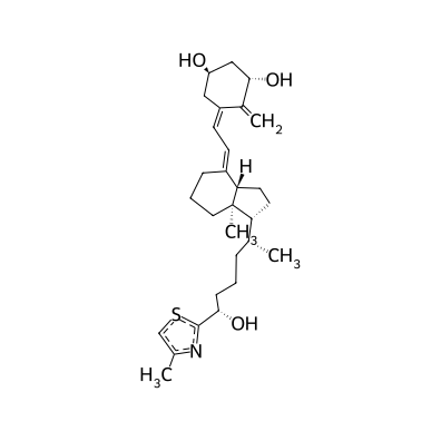 C=C1/C(=C\C=C2/CCC[C@]3(C)[C@@H]([C@H](C)CCC[C@H](O)c4nc(C)cs4)CC[C@@H]23)C[C@@H](O)C[C@@H]1O